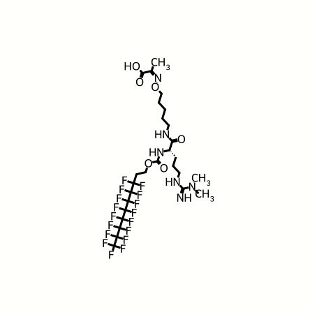 C/C(=N/OCCCCCNC(=O)[C@H](CCCNC(=N)N(C)C)NC(=O)OCCC(F)(F)C(F)(F)C(F)(F)C(F)(F)C(F)(F)C(F)(F)C(F)(F)C(F)(F)F)C(=O)O